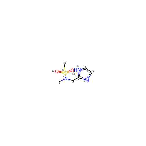 CN(Cc1ncc[nH]1)S(C)(=O)=O